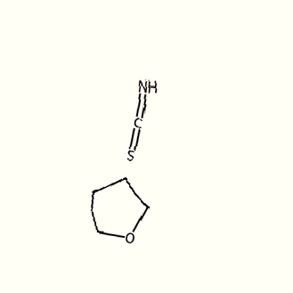 C1CCOC1.N=C=S